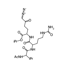 CC(=O)NC(C(=O)NC(CCCNC(N)=O)C(=O)NC(CCC(=O)C=[N+]=[N-])C(=O)OC(C)C)C(C)C